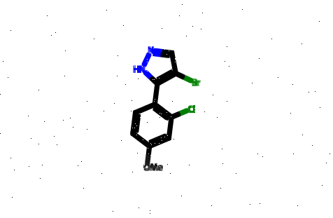 COc1ccc(-c2[nH]ncc2Br)c(Cl)c1